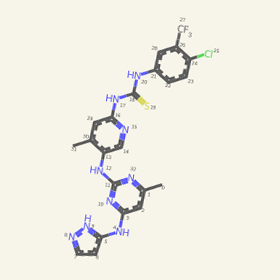 Cc1cc(Nc2ccn[nH]2)nc(Nc2cnc(NC(=S)Nc3ccc(Cl)c(C(F)(F)F)c3)cc2C)n1